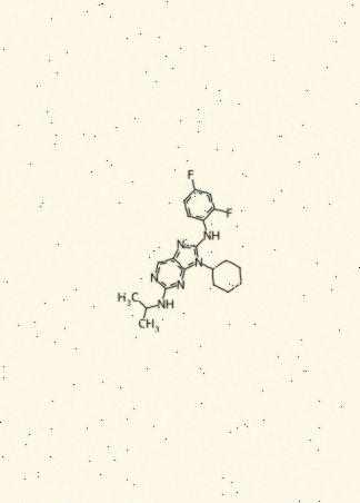 CC(C)Nc1ncc2nc(Nc3ccc(F)cc3F)n(C3CCCCC3)c2n1